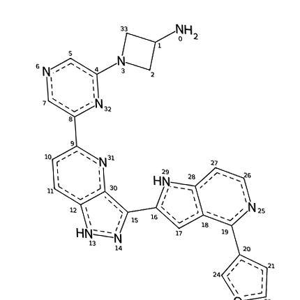 NC1CN(c2cncc(-c3ccc4[nH]nc(-c5cc6c(-c7ccoc7)nccc6[nH]5)c4n3)n2)C1